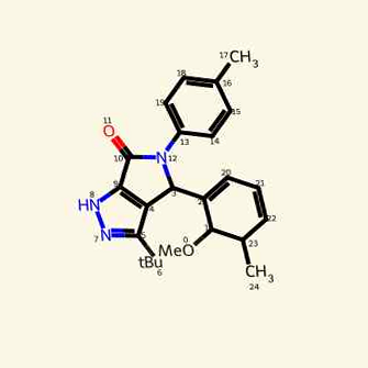 COC1C(C2c3c(C(C)(C)C)n[nH]c3C(=O)N2c2ccc(C)cc2)=CC=CC1C